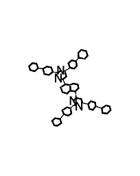 c1ccc(-c2ccc(-c3cc(-c4cccc5c(-c6cc(-c7ccc(-c8ccccc8)cc7)nc(-c7ccc(-c8ccccc8)cc7)n6)cccc45)nc(-c4ccc(-c5ccccc5)cc4)n3)cc2)cc1